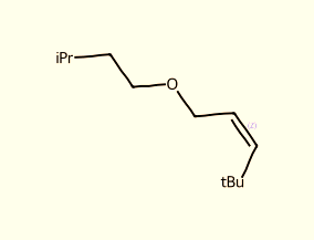 CC(C)CCOC/C=C\C(C)(C)C